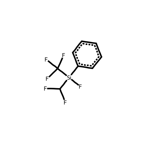 FC(F)[Si](F)(c1ccccc1)C(F)(F)F